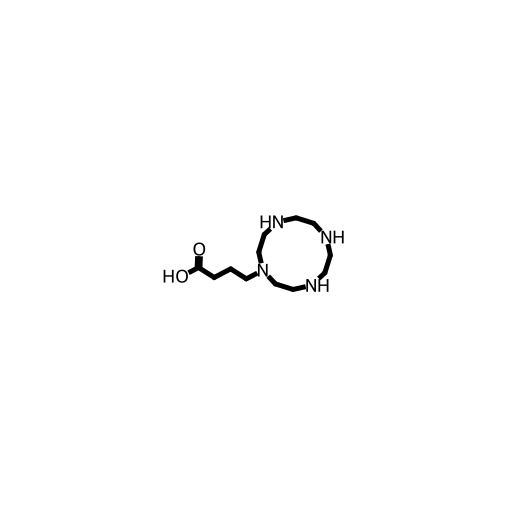 O=C(O)CCCN1CCNCCNCCNCC1